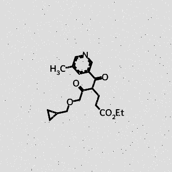 CCOC(=O)CCC(C(=O)COCC1CC1)C(=O)c1cncc(C)c1